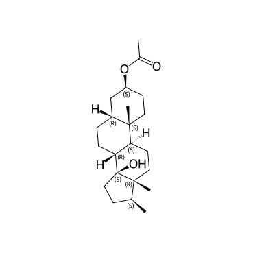 CC(=O)O[C@H]1CC[C@@]2(C)[C@H](CC[C@@H]3[C@@H]2CC[C@]2(C)[C@@H](C)CC[C@]32O)C1